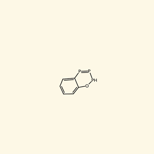 c1ccc2c(c1)OPP=P2